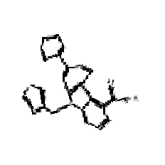 NC(=O)c1cccc2c1c1[c]cc(-c3ccccc3)cc1n2Cc1ccsc1